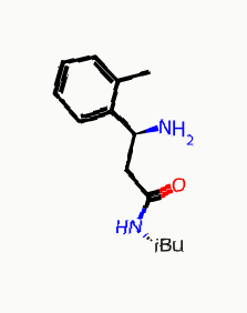 CC[C@@H](C)NC(=O)C[C@H](N)c1ccccc1C